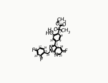 COC(=O)C(C)(C)c1ccc(-c2nn(Cc3ccc(F)cc3F)c3ncc(F)cc23)cc1O